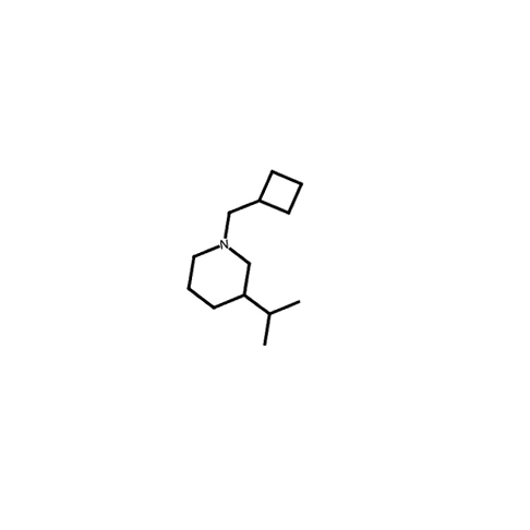 CC(C)C1CCCN(CC2CCC2)C1